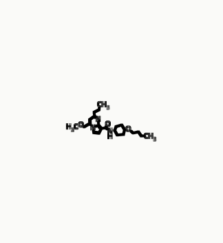 CCCCO[C@H]1CC[C@H](NC(=O)c2ccn3c(COC)cc(CCC)nc23)CC1